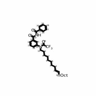 CCCCCCCC/C=C/CCCCCCCCN(C(=O)C(F)(F)F)c1cccc(C(=O)NC(=O)c2ccccc2)c1